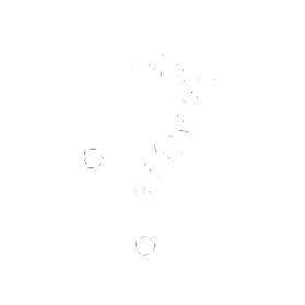 CCCCC(NC(=O)C(CCCC)NC(=O)CNC(=O)C(=O)C(CCC)NC(=O)[C@@H]1C[C@@H](OCc2ccccc2)CN1C(=O)C(NC(=O)[C@H]1CCCC[C@@H]1Oc1ccccc1)C1CCCCC1)C(N)=O